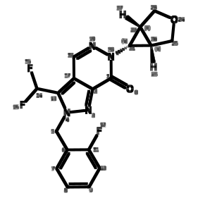 O=c1c2nn(Cc3ccccc3F)c(C(F)F)c2cnn1[C@@H]1[C@@H]2COC[C@@H]21